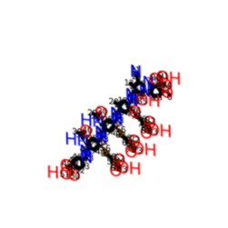 COc1ccc2c(nc3c(C#N)c(C)c(N=Nc4cc(C)c(N=Nc5cc(NC(C)=O)c(N=Nc6cc(NC(C)=O)c(N=Nc7ccc(S(=O)(=O)O)cc7)cc6SCCCS(=O)(=O)O)cc5SCCCS(=O)(=O)O)cc4OCCCS(=O)(=O)O)c(O)n32)c1S(=O)(=O)O